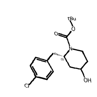 CC(C)(C)OC(=O)N1CCC(O)C[C@@H]1Cc1ccc(Cl)cc1